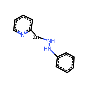 c1ccc(N[NH][Zn][c]2ccccn2)cc1